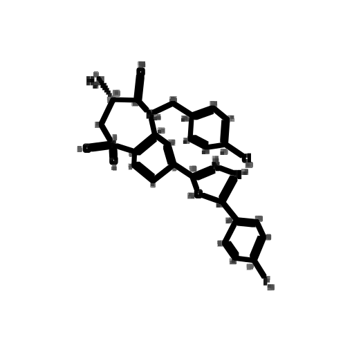 N[C@H]1CS(=O)(=O)c2ccc(-c3nnc(-c4ccc(F)cc4)o3)cc2N(Cc2ccc(Cl)cc2)C1=O